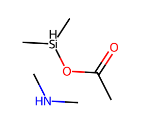 CC(=O)O[SiH](C)C.CNC